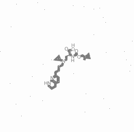 CC1(COC(=O)N[C@@H](CCN(CCCCc2ccc3c(n2)NCCC3)C2CC2)C(=O)O)CC1